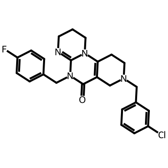 O=C1C2=C(CCN(Cc3cccc(Cl)c3)C2)N2CCCN=C2N1Cc1ccc(F)cc1